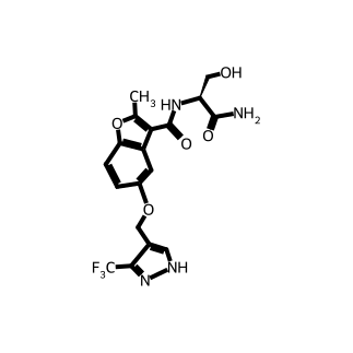 Cc1oc2ccc(OCc3c[nH]nc3C(F)(F)F)cc2c1C(=O)N[C@@H](CO)C(N)=O